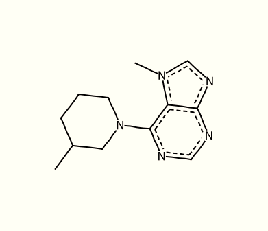 CC1CCCN(c2ncnc3ncn(C)c23)C1